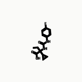 CCC(NC(=O)Nc1ccc(F)cc1)(C(=O)O)C1CC1